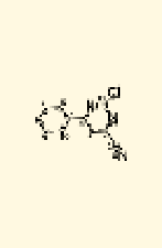 N#Cc1cc(-c2ccccc2)nc(Cl)n1